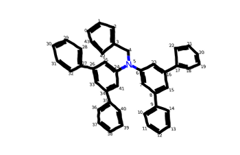 c1ccc(CN(c2cc(-c3ccccc3)cc(-c3ccccc3)c2)c2cc(-c3ccccc3)cc(-c3ccccc3)c2)cc1